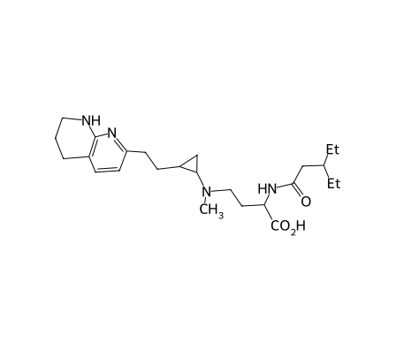 CCC(CC)CC(=O)NC(CCN(C)C1CC1CCc1ccc2c(n1)NCCC2)C(=O)O